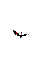 Nc1ccc(/C=C/C(=O)NCc2ccc(C(=O)Nc3ccncc3N)cc2)cc1